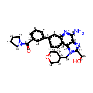 Nc1nc2cc(-c3cccc(C(=O)N4CCCC4)c3)ccc2c2c1nc(CO)n2CC1CCOCC1